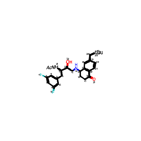 CC(=O)NC(Cc1cc(F)cc(F)c1)C(O)CNC1CCC(=O)c2ccc(CC(C)(C)C)cc21